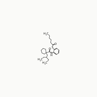 CCCCCC(=O)Sc1ccccc1NC(=O)C1(CC(CC)CC)CCCCC1